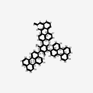 C=C/C=c1/cccc2c1c(C)c1ccc(-c3c(F)c(-c4ccc5c6cccc7cccc(c8cccc4c85)c76)c(F)c(-c4ccc5c6cccc7cccc(c8cccc4c85)c76)c3F)c3cccc2c31